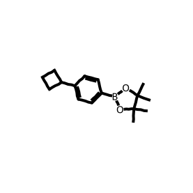 CC1(C)OB(c2ccc([C]3CCC3)cc2)OC1(C)C